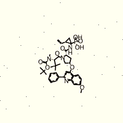 C=CC1CC1(NC(=O)[C@@H]1C[C@@H](Oc2cc(-c3ccccc3)nc3cc(OC)ccc23)CN1C(=O)[C@@H](N(C)C(=O)OC(C)(C)C)C(C)(C)C)P(=O)(O)O